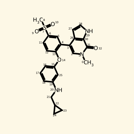 Cn1cc(-c2cc(S(C)(=O)=O)ccc2Oc2cccc(NCC3CC3)c2)c2cc[nH]c2c1=O